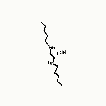 CCCCCNCCNCCCCC.Cl.Cl